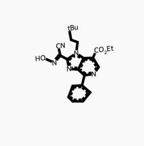 CCOC(=O)c1cnc(-c2ccccc2)c2nc(C(C#N)=NO)n(CCC(C)(C)C)c12